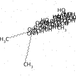 CCCCCCCCCCCCC/C=C/[C@@H](O)[C@H](CO[C@@H]1OC(CO)[C@@H](O[C@@H]2OC(CO)[C@H](O[C@@H]3OC(CO)[C@H](O)[C@H](O[C@@H]4OC(CO)[C@H](O)[C@H](O[C@@H]5OC(CO)[C@H](O)[C@H](O[C@]6(C(=O)O)CC(O)[C@@H](NC(=O)CO)C([C@H](O)[C@H](O)CO)O6)C5O)C4NC(C)=O)C3O)[C@H](O)C2O)[C@H](O)C1O)NC(=O)CCCCCCCCCCCCCCCCCCC